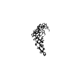 CC(C)(C)C(=O)OP(=O)(O)N(CC1CN(c2cc(F)c(N3C=CC(=O)CC3)c(F)c2F)C(=O)O1)c1ccon1